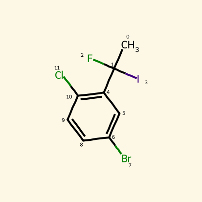 CC(F)(I)c1cc(Br)ccc1Cl